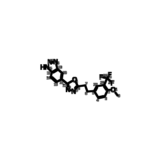 COc1ccc(CCc2nnc(-c3ccc4[nH]nnc4c3)o2)cc1C(F)(F)F